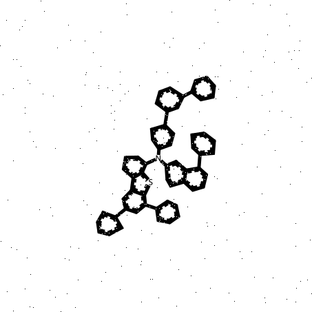 c1ccc(-c2cccc(-c3ccc(N(c4ccc5cccc(-c6ccccc6)c5c4)c4cccc5c4sc4c(-c6ccccc6)cc(-c6ccccc6)cc45)cc3)c2)cc1